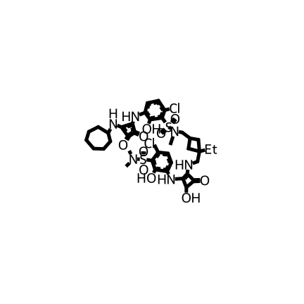 CCC1(CNC2=C(Nc3ccc(Cl)c(S(=O)(=O)N(C)C)c3O)C(O)C2=O)CC(CN(C)S(=O)(=O)c2c(Cl)ccc(Nc3c(NC4CCCCCC4)c(=O)c3=O)c2O)C1